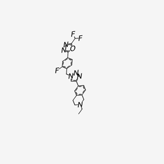 CCN1CCc2cc(-c3cn(Cc4ccc(-c5nnc(C(F)F)o5)cc4F)nn3)ccc2C1